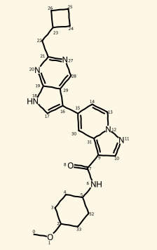 COC1CCC(NC(=O)c2cnn3ccc(-c4c[nH]c5nc(CC6CCC6)ncc45)cc23)CC1